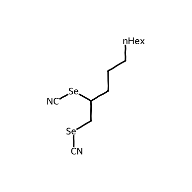 CCCCCCCCCC(C[Se]C#N)[Se]C#N